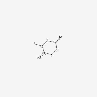 CC(=O)C1CCC(=O)C(C)C1